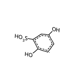 O=S(=O)(O)c1cc(O)c[c]c1O